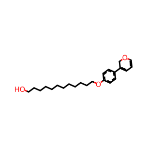 OCCCCCCCCCCCCOc1ccc(C2=CC=COC2)cc1